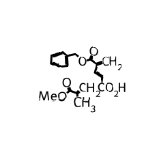 C=C(C)C(=O)OC.C=C(C=CC(=O)O)C(=O)OCc1ccccc1